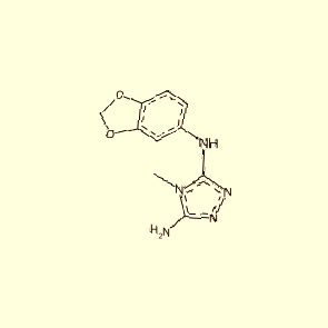 Cn1c(N)nnc1Nc1ccc2c(c1)OCO2